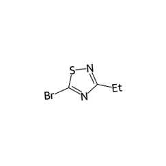 CCc1nsc(Br)n1